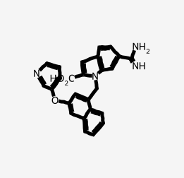 N=C(N)c1ccc2cc(C(=O)O)n(Cc3cc(Oc4cccnc4)cc4ccccc34)c2c1